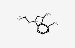 [CH2]c1cccc2c1C(C)CN2CCN